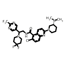 CN(C)[C@@H]1CCCN(c2ccc3c(C(=O)NCC(c4cnc(C(F)(F)F)nc4)N4CCC(F)(F)CC4)c(Cl)ccc3n2)C1